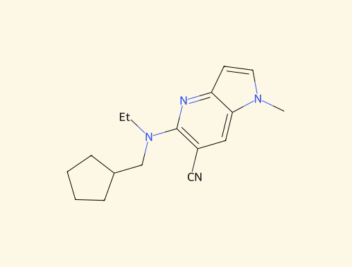 CCN(CC1CCCC1)c1nc2ccn(C)c2cc1C#N